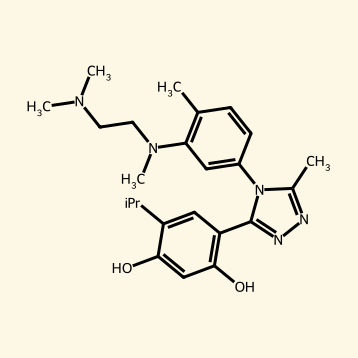 Cc1ccc(-n2c(C)nnc2-c2cc(C(C)C)c(O)cc2O)cc1N(C)CCN(C)C